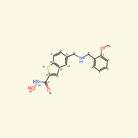 COc1ccccc1CNCc1ccc2sc(C(=O)NO)cc2c1